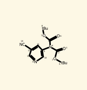 CC(C)(C)OC(=O)N(C(=O)OC(C)(C)C)c1cncc(C#N)c1